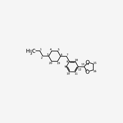 CCCC1CCC(Cc2cccc(C3OCCO3)c2)CC1